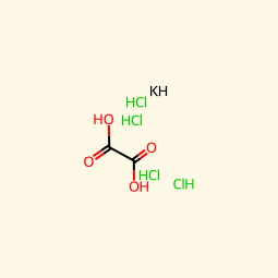 Cl.Cl.Cl.Cl.O=C(O)C(=O)O.[KH]